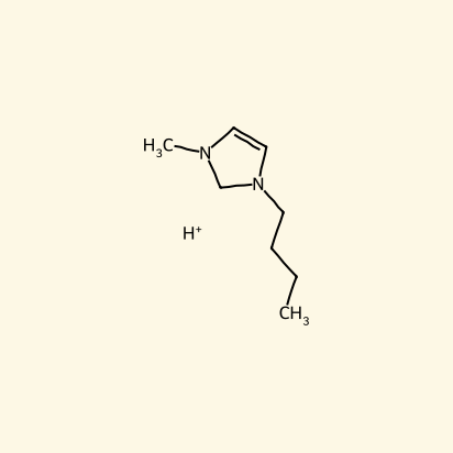 CCCCN1C=CN(C)C1.[H+]